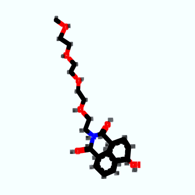 COCCOCCOCCOCCN1C(=O)c2cccc3c(O)ccc(c23)C1=O